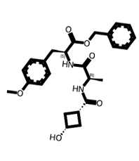 COc1ccc(C[C@H](NC(=O)[C@@H](C)NC(=O)[C@H]2C[C@@H](O)C2)C(=O)OCc2ccccc2)cc1